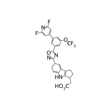 O=C(O)CC1CCc2c1[nH]c1c2=CC(c2noc(-c3cc(OC(F)(F)F)cc(-c4cc(F)nc(F)c4)c3)n2)CC=1